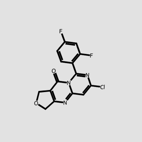 O=c1c2c(nc3cc(Cl)nc(-c4ccc(F)cc4F)n13)COC2